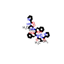 CC(C)[C@H](NC(=O)c1ccccn1)C(=O)N[C@@H](Cc1ccccc1)C(O)C(O)[C@H](Cc1ccccc1)NC(=O)[C@@H](NC(=O)c1ccccn1)C(C)C